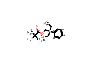 CC[Si](CC)(COC(=O)C(C)(C)C)c1ccccc1